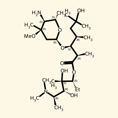 CC[C@@H](OC(=O)[C@H](C)[C@@H](O[C@H]1C[C@@](C)(OC)[C@@H](N)[C@H](C)O1)[C@H](C)CC(C)(C)O)[C@@](C)(O)[C@H](O)[C@@H](C)N(C)C